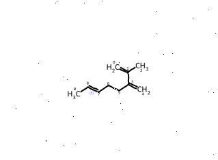 C=C(C)C(=C)CC/C=C/C